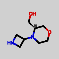 OC[C@@H]1COCCN1C1CNC1